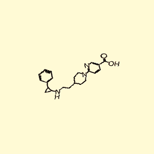 O=C(O)c1ccc(N2CCC(CCNC3CC3c3ccccc3)CC2)nc1